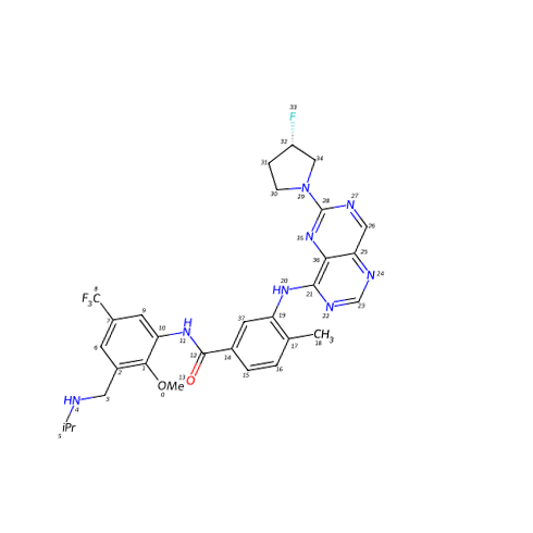 COc1c(CNC(C)C)cc(C(F)(F)F)cc1NC(=O)c1ccc(C)c(Nc2ncnc3cnc(N4CC[C@H](F)C4)nc23)c1